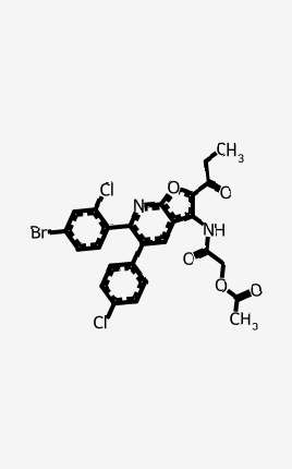 CCC(=O)c1oc2nc(-c3ccc(Br)cc3Cl)c(-c3ccc(Cl)cc3)cc2c1NC(=O)COC(C)=O